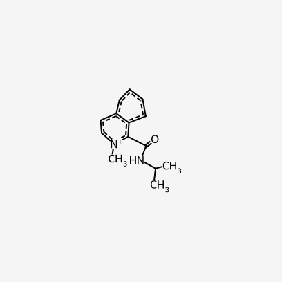 CC(C)NC(=O)c1c2ccccc2cc[n+]1C